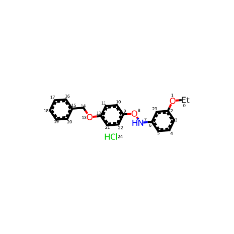 CCOc1cccc(NOc2ccc(OCc3ccccc3)cc2)c1.Cl